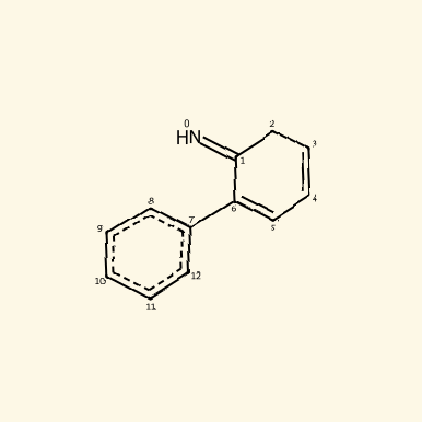 N=C1CC=C[C]=C1c1ccccc1